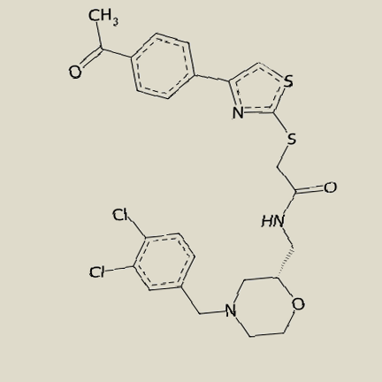 CC(=O)c1ccc(-c2csc(SCC(=O)NC[C@H]3CN(Cc4ccc(Cl)c(Cl)c4)CCO3)n2)cc1